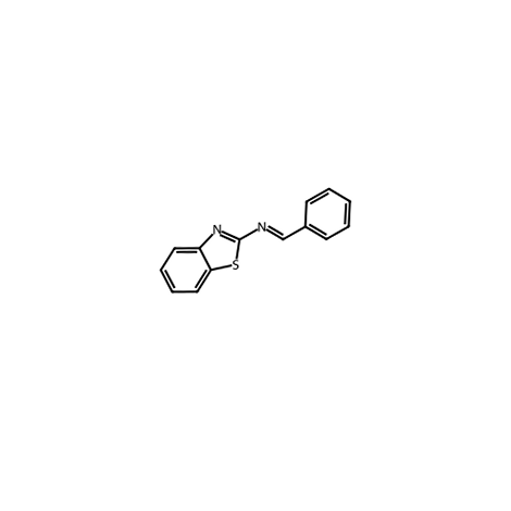 C(=Nc1nc2ccccc2s1)c1ccccc1